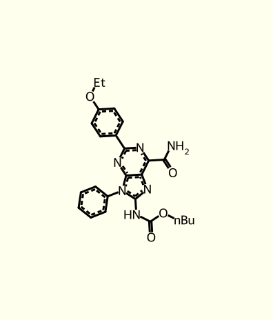 CCCCOC(=O)Nc1nc2c(C(N)=O)nc(-c3ccc(OCC)cc3)nc2n1-c1ccccc1